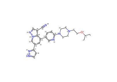 CC(C)OCCN1CCN(c2ccc(-c3cc(-c4cc[nH]n4)cn4ncc(C#N)c34)cn2)CC1